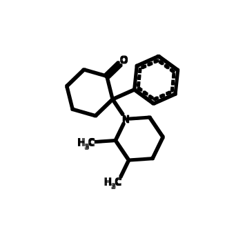 CC1CCCN(C2(c3ccccc3)CCCCC2=O)C1C